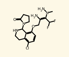 CN(N)/C(=C(\N)COc1ccc(Cl)c2c1C(N1CCCC1=O)NCC2)C(F)F